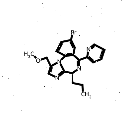 CCC[C@@H]1N=C(c2ccccn2)c2cc(Br)ccc2-n2c(COC)cnc21